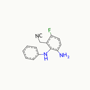 [C-]#[N+]Cc1c(F)ccc(N)c1Nc1ccccc1